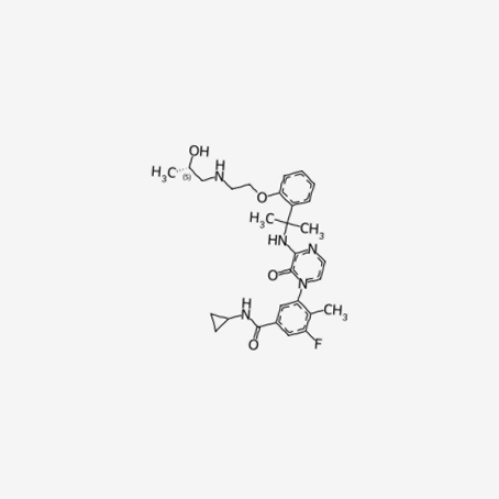 Cc1c(F)cc(C(=O)NC2CC2)cc1-n1ccnc(NC(C)(C)c2ccccc2OCCNC[C@H](C)O)c1=O